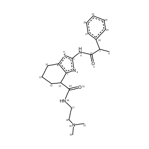 CC(C(=O)Nc1nc2c(s1)CCCC2C(=O)NCCN(C)C)c1ccccc1